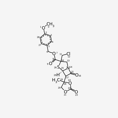 COc1ccc(COC(=O)C2(CCl)CN3C(=O)C(C4(C)COC(=O)O4)[C@H]3S2)cc1